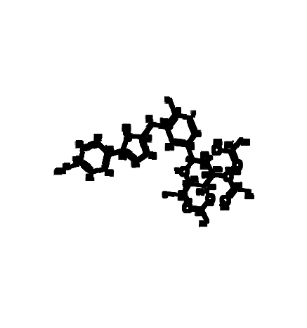 CS[C@H]1OC(c2ccc(C)c(Cc3ccc(-c4ccc(F)cc4)s3)c2)[C@H](OC(C)=O)[C@@H](OC(C)=O)[C@@H]1OC(C)=O